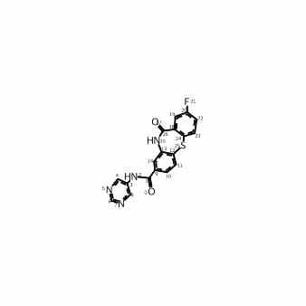 O=C(Nc1cncnc1)c1ccc2c(c1)NC(=O)c1cc(F)ccc1S2